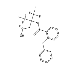 O=C(O)CC(OC(=O)c1ccccc1Cc1ccccc1)(C(F)(F)F)C(F)(F)F